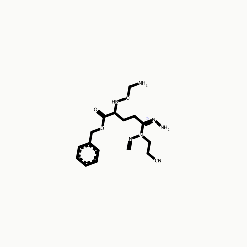 C=NN(CCC#N)/C(CCC(BOCN)C(=O)OCc1ccccc1)=N\N